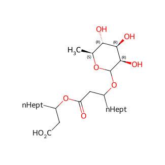 CCCCCCCC(CC(=O)O)OC(=O)CC(CCCCCCC)OC1O[C@@H](C)[C@H](O)[C@@H](O)[C@H]1O